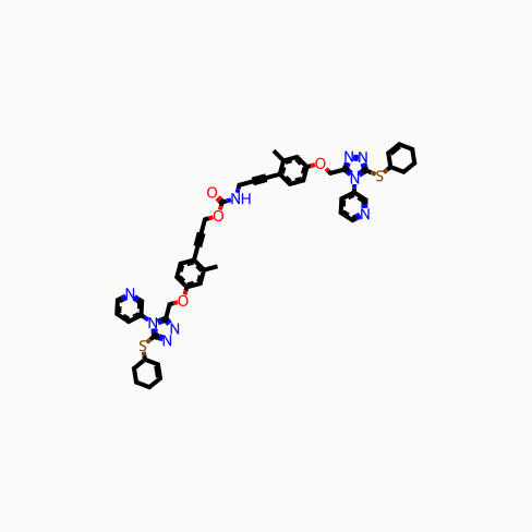 Cc1cc(OCc2nnc(SC3C=CCCC3)n2-c2cccnc2)ccc1C#CCNC(=O)OCC#Cc1ccc(OCc2nnc(SC3C=CCCC3)n2-c2cccnc2)cc1C